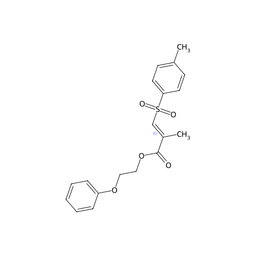 C/C(=C\S(=O)(=O)c1ccc(C)cc1)C(=O)OCCOc1ccccc1